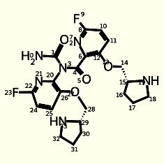 NC(=O)N(C(=O)c1nc(F)ccc1OC[C@H]1CCCN1)c1nc(F)ccc1OC[C@@H]1CCCN1